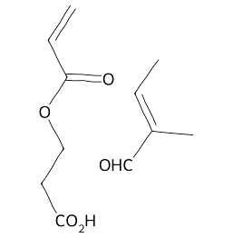 C=CC(=O)OCCC(=O)O.CC=C(C)C=O